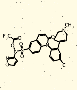 CN1CC=C(c2cc(Cl)ccc2-n2c(=O)ccc3cc(S(=O)(=O)N(OC(=O)C(F)(F)F)c4ccon4)ccc32)CC1